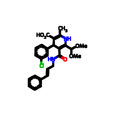 COC(OC)C1=C(C(=O)NCC=Cc2ccccc2)C(c2cccc(Cl)c2)C(C(=O)O)=C(C)N1